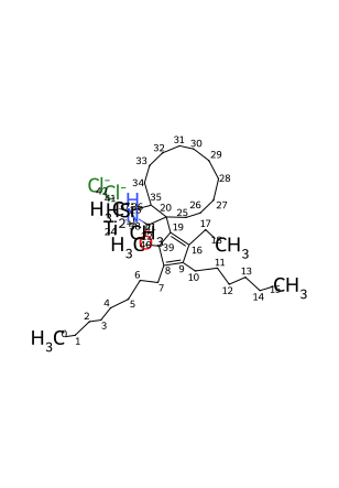 CCCCCCCCC1=C(CCCCCC)C(CC)=C(C2(C(=O)[NH][Ti+2])CCCCCCCCCCC2[SiH](C)C)C1C.[Cl-].[Cl-]